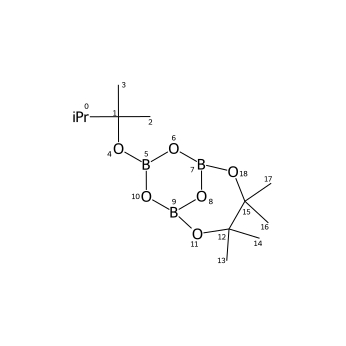 CC(C)C(C)(C)OB1OB2OB(O1)OC(C)(C)C(C)(C)O2